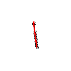 C=C(C)C(=O)OCCCCCCCCCCOCCOCCOCCOCCOCCOCCOCCOCCOC